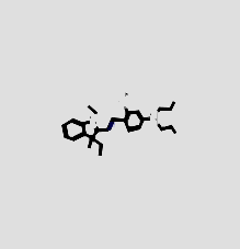 CCCN(CCC)c1ccc(/C=C/C2=[N+](CC)c3ccccc3C2(C)CC)c(OC)c1